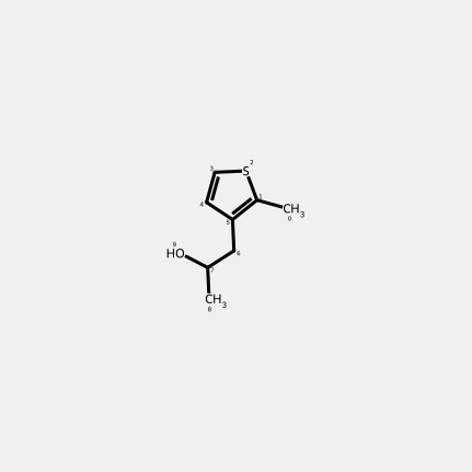 Cc1sccc1CC(C)O